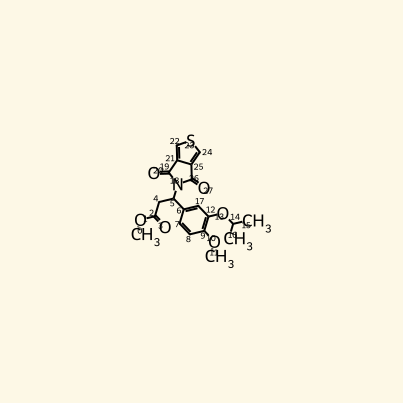 COC(=O)CC(c1ccc(OC)c(OC(C)C)c1)N1C(=O)c2cscc2C1=O